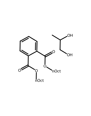 CC(O)CO.CCCCCCCCOC(=O)c1ccccc1C(=O)OCCCCCCCC